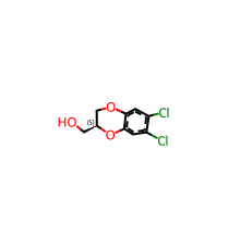 OC[C@H]1COc2cc(Cl)c(Cl)cc2O1